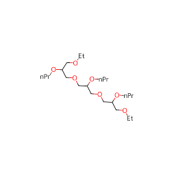 CCCOC(COCC)COCC(COCC(COCC)OCCC)OCCC